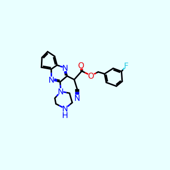 N#CC(C(=O)OCc1cccc(F)c1)c1nc2ccccc2nc1N1CCNCC1